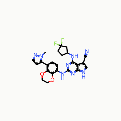 Cn1nccc1-c1ccc(Nc2nc(NC3CCC(F)(F)C3)c3c(C#N)c[nH]c3n2)c2c1OCCO2